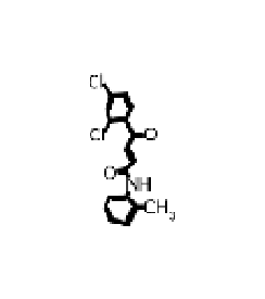 Cc1ccccc1NC(=O)C=CC(=O)c1ccc(Cl)cc1Cl